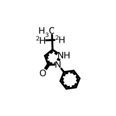 [2H]C([2H])(C)c1cc(=O)n(-c2ccccc2)[nH]1